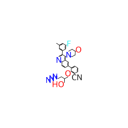 Cc1cc(F)cc(-c2cnc3ccc(-c4cccc(C#N)c4OCC(CO)CCN=[N+]=[N-])cc3c2N2CCC(=O)CC2)c1